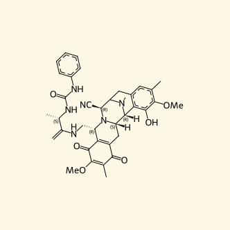 C=C(NC[C@H]1C2=C(C[C@H]3[C@H]4c5c(cc(C)c(OC)c5O)CC([C@H](C#N)N13)N4C)C(=O)C(C)=C(OC)C2=O)[C@H](C)NC(=O)Nc1ccccc1